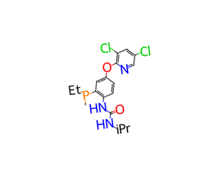 CCP(C)c1cc(Oc2ncc(Cl)cc2Cl)ccc1NC(=O)NC(C)C